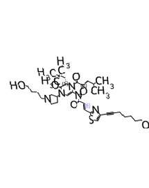 CC(C)C[C@H]1ON(C(=O)/C=C/c2nc(C#CCCCCCO)cs2)C2=CN(C3CCN(CCCCO)C3)C(=O)[C@H](CC(C)(C)C)N2C1=O